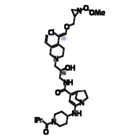 C=CC1=C(/C(Cl)=C/OCC2CN2OOC)CCN(C[C@@H](O)CNC(=O)C2=C3CCN(C3)C(NC3CCN(C(=O)C(C)C)CC3)=C2)C1